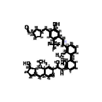 COc1cc(C(=O)Nc2cccc(-c3cccc(/C=C/c4cc(O)c(CN5CC[C@@H](C=O)C5)cc4C(F)(F)F)c3C)c2C)ncc1CN1CCC(O)C1